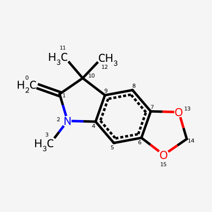 C=C1N(C)c2cc3c(cc2C1(C)C)OCO3